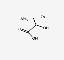 CC(O)C(=O)O.[AlH3].[Zn]